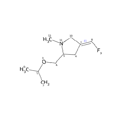 CC(C)OCC1C/C(=C\F)CN1C